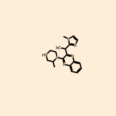 CC1CNCCN1c1nc2ccccc2nc1C(C#N)c1nccn1C